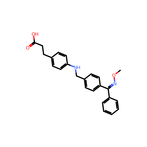 CO/N=C(/c1ccccc1)c1ccc(CNc2ccc(CCC(=O)O)cc2)cc1